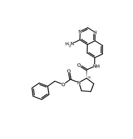 Nc1ncnc2ccc(NC(=O)[C@@H]3CCCN3C(=O)OCc3ccccc3)cc12